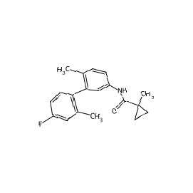 Cc1cc(F)ccc1-c1cc(NC(=O)C2(C)CC2)ccc1C